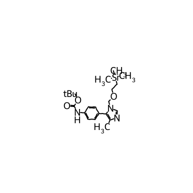 Cc1ncn(COCC[Si](C)(C)C)c1-c1ccc(NC(=O)OC(C)(C)C)cc1